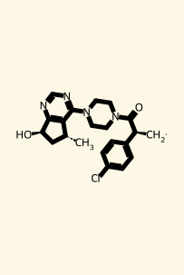 [CH2][C@H](C(=O)N1CCN(c2ncnc3c2[C@H](C)C[C@H]3O)CC1)c1ccc(Cl)cc1